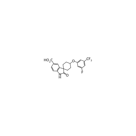 O=C(O)c1ccc2c(c1)C1(CCC(Oc3cc(F)cc(C(F)(F)F)c3)CC1)C(=O)N2